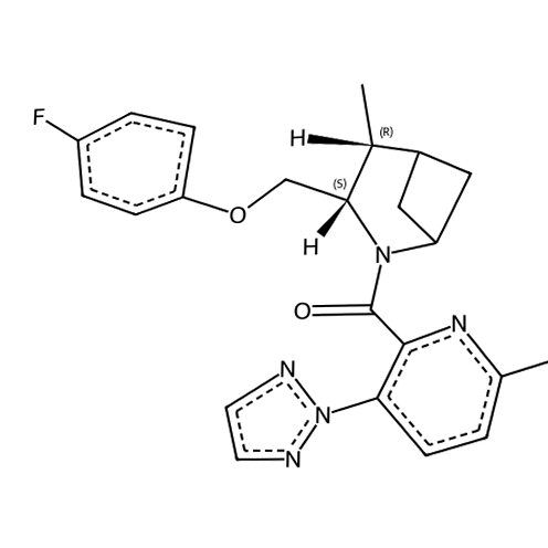 Cc1ccc(-n2nccn2)c(C(=O)N2C3CC(C3)[C@@H](C)[C@H]2COc2ccc(F)cc2)n1